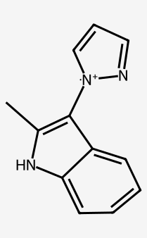 Cc1[nH]c2ccccc2c1[N+]1C=CC=N1